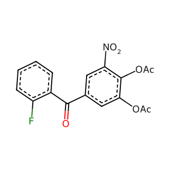 CC(=O)Oc1cc(C(=O)c2ccccc2F)cc([N+](=O)[O-])c1OC(C)=O